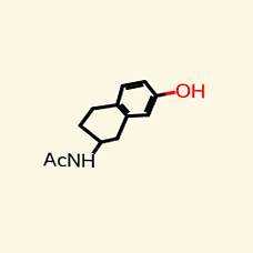 CC(=O)NC1CCc2ccc(O)cc2C1